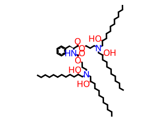 CCCCCCCCCCC(O)CN(CCCOC(=O)N[C@@H](Cc1ccccc1)C(=O)OCCCN(CC(O)CCCCCCCCCC)CC(O)CCCCCCCCCC)CC(O)CCCCCCCCCC